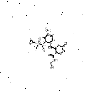 CCONC(=O)c1cnc(Cl)cc1Nc1ccc(C)cc1N(C)S(=O)(=O)C1CC1